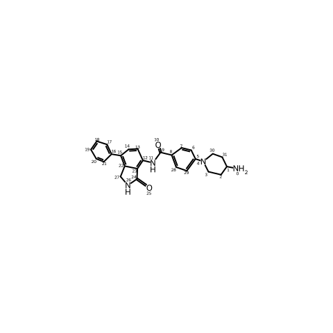 NC1CCN(c2ccc(C(=O)Nc3ccc(-c4ccccc4)c4c3C(=O)NC4)cc2)CC1